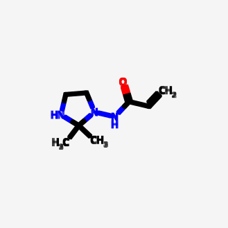 C=CC(=O)NN1CCNC1(C)C